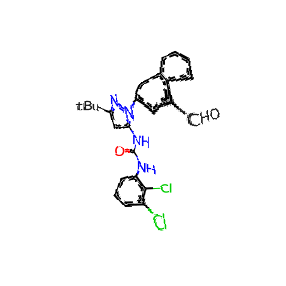 CC(C)(C)c1cc(NC(=O)Nc2cccc(Cl)c2Cl)n(-c2cc(C=O)c3ccccc3c2)n1